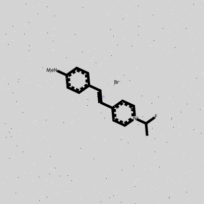 CNc1ccc(/C=C/c2cc[n+](C(C)F)cc2)cc1.[Br-]